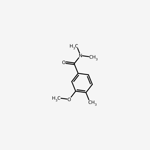 COc1cc(C(=O)N(C)C)ccc1C